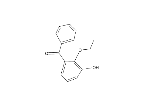 CCOc1c(O)cccc1C(=O)c1ccccc1